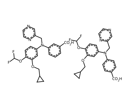 O=C(O)c1ccc(N(Cc2cnccn2)c2ccc(OC(F)F)c(OCC3CC3)c2)cc1.O=C(O)c1cccc(N(Cc2cnccn2)c2ccc(OC(F)F)c(OCC3CC3)c2)c1